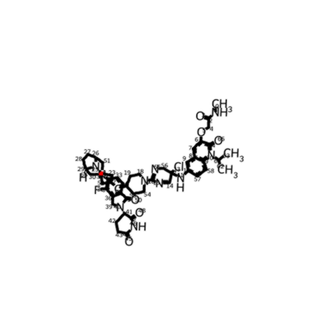 CNC(=O)COc1cc2cc(NC3(Cl)C=NC(N4CCC(OC5CC(N6C7CC[C@@H]6CN(c6ccc8c(c6F)CN([C@@H]6CCC(=O)NC6=O)C8=O)C7)C5)CC4)=NC3)ccc2n(C(C)C)c1=O